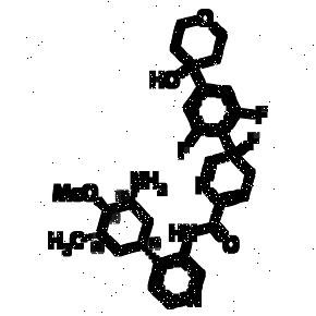 CO[C@H]1[C@H](N)C[C@H](c2ccncc2NC(=O)C2=CCC(F)(c3c(F)cc(C4(O)CCOCC4)cc3F)C=N2)C[C@@H]1C